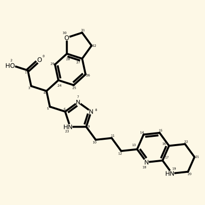 O=C(O)CC(Cc1nnc(CCCc2ccc3c(n2)NCCC3)[nH]1)c1ccc2c(c1)OCC2